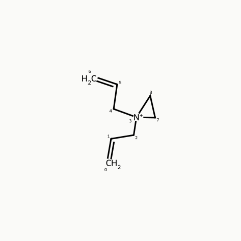 C=CC[N+]1(CC=C)CC1